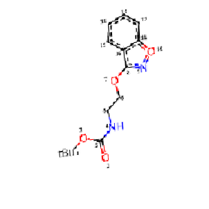 CC(C)(C)OC(=O)NCCOc1noc2ccccc12